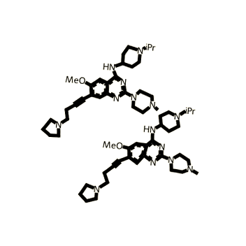 COc1cc2c(NC3CCN(C(C)C)CC3)nc(N3CCN(C)CC3)nc2cc1C#CCCN1CCCC1.COc1cc2c(NC3CCN(C(C)C)CC3)nc(N3CCN(C)CC3)nc2cc1C#CCCN1CCCC1